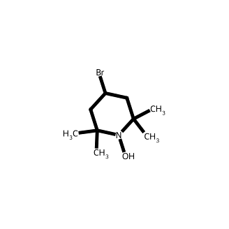 CC1(C)CC(Br)CC(C)(C)N1O